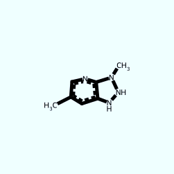 Cc1cnc2c(c1)NNN2C